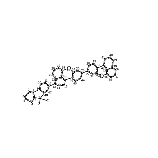 CC1(C)c2ccccc2-c2ccc(-c3ccc4c5c(cccc35)Oc3cc(-c5ccc6c(c5)Oc5cccc7cccc-6c57)ccc3-4)cc21